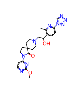 COc1nccc(N2CCC3(CCN(C[C@H](O)c4ccc(-n5cnnn5)nc4C)CC3)C2=O)n1